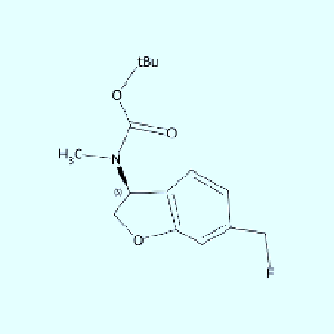 CN(C(=O)OC(C)(C)C)[C@@H]1COc2cc(CF)ccc21